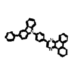 C1=Cc2c(c3ccccc3c3nc(-c4ccc(-n5c6ccccc6c6cc(-c7ccccc7)ccc65)cc4)cnc23)CC1